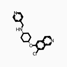 Clc1cc2cnccc2cc1O[C@H]1CC[C@@H](NCc2ccncc2)CC1